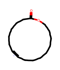 O=C1CCCCC/C=C\CCCCCCCCO1